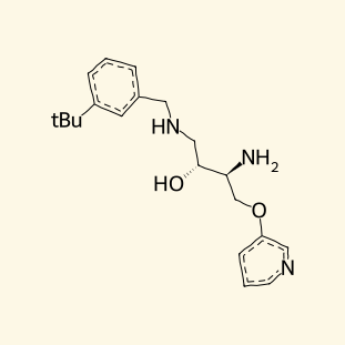 CC(C)(C)c1cccc(CNC[C@@H](O)[C@@H](N)COc2cccnc2)c1